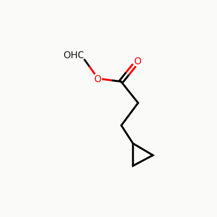 O=COC(=O)CCC1CC1